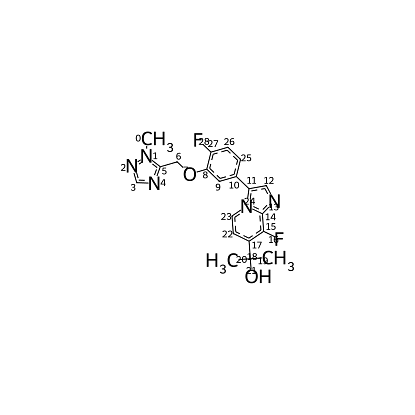 Cn1ncnc1COc1cc(-c2cnc3c(F)c(C(C)(C)O)ccn23)ccc1F